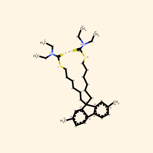 CCN(CC)C(=S)SCCCCCCC1(CCCCCCSC(=S)N(CC)CC)c2cc(C)ccc2-c2ccc(C)cc21